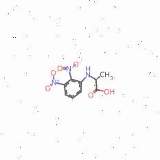 C[C@H](Nc1cccc([N+](=O)[O-])c1[N+](=O)[O-])C(=O)O